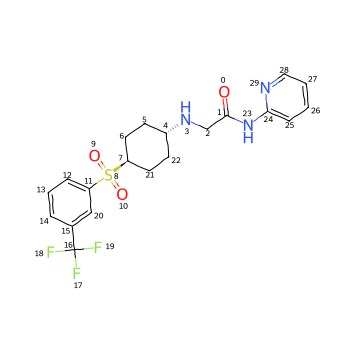 O=C(CN[C@H]1CC[C@H](S(=O)(=O)c2cccc(C(F)(F)F)c2)CC1)Nc1ccccn1